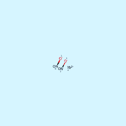 O=N[O-].O=N[O-].[Yb+2]